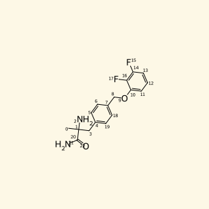 CC(N)(Cc1ccc(COc2cccc(F)c2F)cc1)C(N)=O